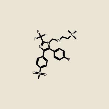 C[Si](C)(C)CCOCn1c(C(F)(F)F)nc(-c2ccc(S(C)(=O)=O)cc2)c1-c1ccc(F)cc1